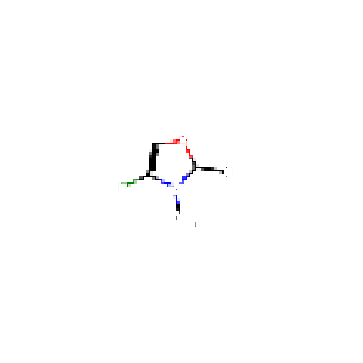 CC1OC=C(F)N1C